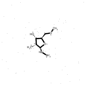 BB[C@@H]1O[C@H](COC)[C@@H](O)[C@H]1C